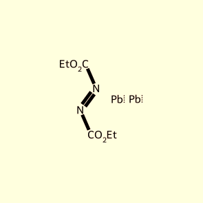 CCOC(=O)N=NC(=O)OCC.[Pb].[Pb]